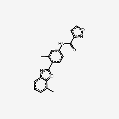 Cc1cc(NC(=O)c2ccon2)ccc1-c1nc2cccc(C)c2o1